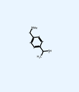 CNCc1ccc(C(C)S)cc1